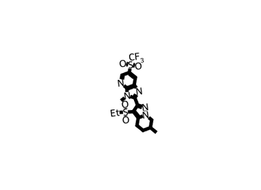 CCS(=O)(=O)c1c(-c2nc3cc(S(=O)(=O)C(F)(F)F)cnc3n2C)nn2c1CCC(C)C2